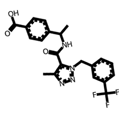 Cc1nnn(Cc2cccc(C(F)(F)F)c2)c1C(=O)NC(C)c1ccc(C(=O)O)cc1